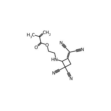 C=C(C)C(=O)OCCNC1C(=C(C#N)C#N)CC1(C#N)C#N